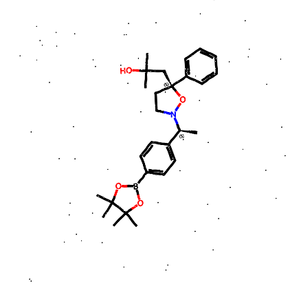 C[C@@H](c1ccc(B2OC(C)(C)C(C)(C)O2)cc1)N1CC[C@](CC(C)(C)O)(c2ccccc2)O1